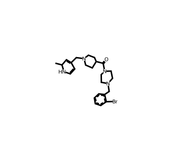 CC1C=C(CN2CCC(C(=O)N3CCN(Cc4ccccc4Br)CC3)CC2)C=CN1